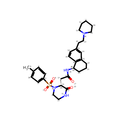 Cc1ccc(S(=O)(=O)N2CCNC(=O)[C@H]2CC(=O)N[C@@H]2CCCc3cc(CCN4CCCCC4)ccc32)cc1